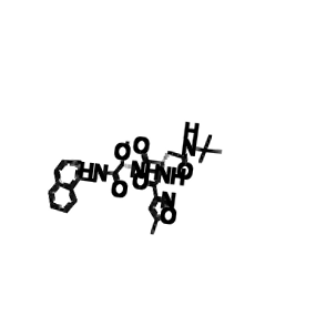 CO[C@H](NC(=O)[C@H](CC(=O)NC(C)(C)C)NC(=O)c1cc(C)on1)C(=O)NCc1cccc2ccccc12